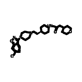 O=C(CC1CCOCC1)N[C@H]1CC[C@H](CCN2CCN(c3noc4cc(Cl)ccc34)CC2)CC1